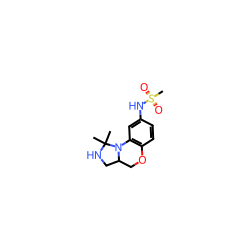 CC1(C)NCC2COc3ccc(NS(C)(=O)=O)cc3N21